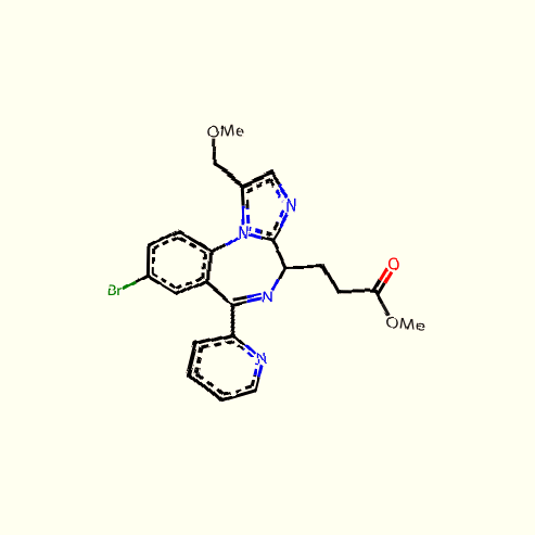 COCc1cnc2n1-c1ccc(Br)cc1C(c1ccccn1)=NC2CCC(=O)OC